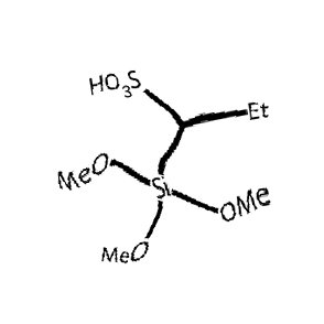 CCC([Si](OC)(OC)OC)S(=O)(=O)O